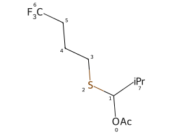 CC(=O)OC(SCCCC(F)(F)F)C(C)C